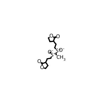 CC([S+]([O-])CCC1CCOC1=O)[S+]([O-])CCC1CCOC1=O